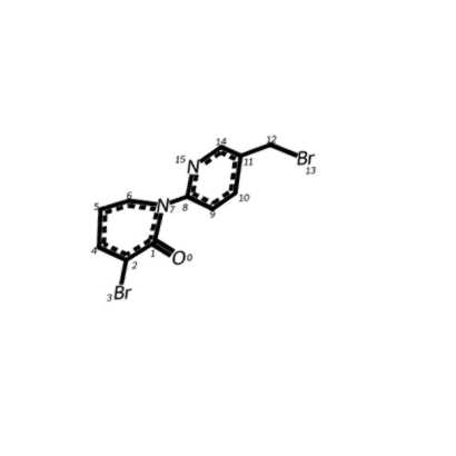 O=c1c(Br)cccn1-c1ccc(CBr)cn1